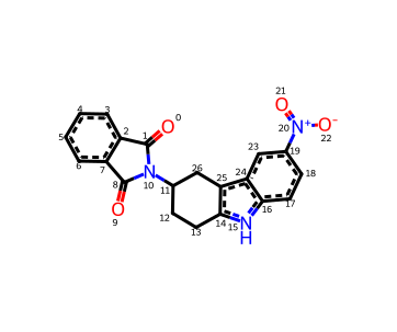 O=C1c2ccccc2C(=O)N1C1CCc2[nH]c3ccc([N+](=O)[O-])cc3c2C1